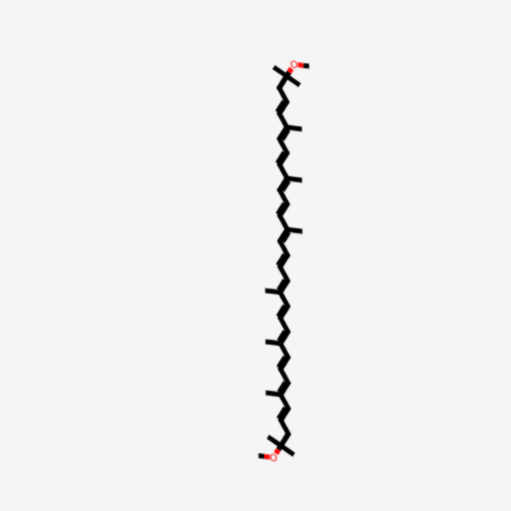 COC(C)(C)C/C=C/C(C)=C/C=C/C(C)=C/C=C/C(C)=C/C=C/C=C(C)/C=C/C=C(C)/C=C/C=C(C)/C=C/CC(C)(C)OC